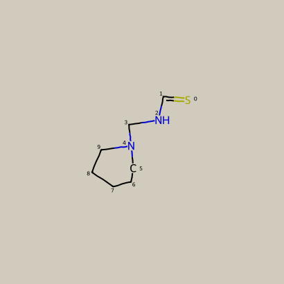 S=CNCN1CCCCC1